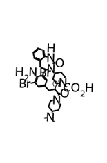 CN(C)C1CCN(C(=O)C(Cc2cc(Br)c(N)c(Br)c2)[C@H]2CC(N3CCc4ccccc4NC3=O)CCN2C(=O)O)CC1